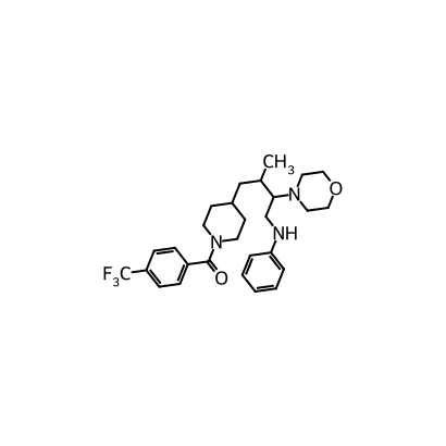 CC(CC1CCN(C(=O)c2ccc(C(F)(F)F)cc2)CC1)C(CNc1ccccc1)N1CCOCC1